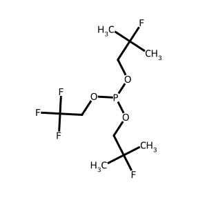 CC(C)(F)COP(OCC(C)(C)F)OCC(F)(F)F